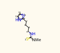 CNC(=S)NCCCCc1ncc[nH]1